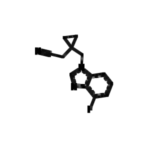 N#CCC1(Cn2cnc3c(F)cccc32)CC1